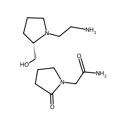 NC(=O)CN1CCCC1=O.NCCN1CCC[C@H]1CO